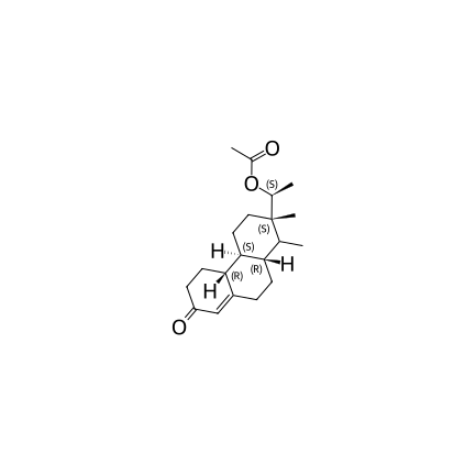 CC(=O)O[C@@H](C)[C@@]1(C)CC[C@@H]2[C@H]3CCC(=O)C=C3CC[C@H]2C1C